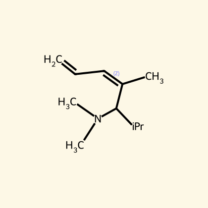 C=C/C=C(/C)C(C(C)C)N(C)C